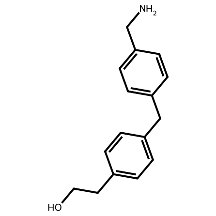 NCc1ccc(Cc2ccc(CCO)cc2)cc1